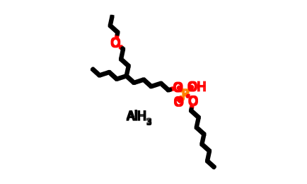 CCCCCCCCOP(=O)(O)OCCCCCC(CCCC)CCCOCCC.[AlH3]